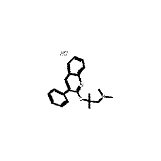 CN(C)CC(C)(C)Sc1nc2ccccc2cc1-c1ccccc1.Cl